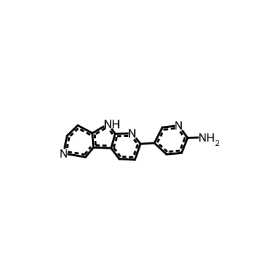 Nc1ccc(-c2ccc3c(n2)[nH]c2ccncc23)cn1